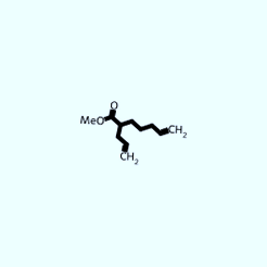 C=CCCCC(CC=C)C(=O)OC